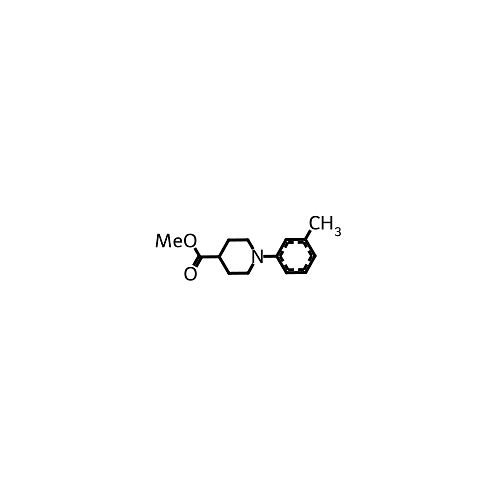 COC(=O)C1CCN(c2cccc(C)c2)CC1